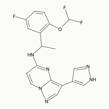 CC(Nc1ccn2ncc(-c3cn[nH]c3)c2n1)c1cc(F)ccc1OC(F)F